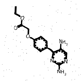 CCOC(=O)COc1ccc(-c2nc(N)ncc2N)cc1